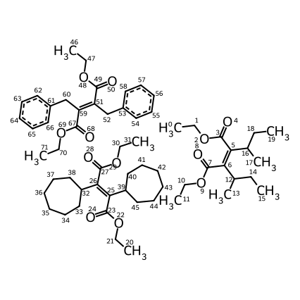 CCOC(=O)C(=C(C(=O)OCC)C(C)CC)C(C)CC.CCOC(=O)C(=C(C(=O)OCC)C1CCCCCC1)C1CCCCCC1.CCOC(=O)C(Cc1ccccc1)=C(Cc1ccccc1)C(=O)OCC